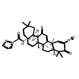 [C-]#[N+]C1=C[C@]2(C)C3=CC(=O)[C@@H]4[C@@H]5CC(C)(C)CC[C@]5(NC(=O)n5cccn5)CC[C@@]4(C)[C@]3(C)CC[C@H]2C(C)(C)C1=O